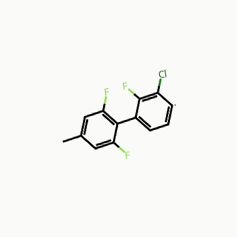 Cc1cc(F)c(-c2cc[c]c(Cl)c2F)c(F)c1